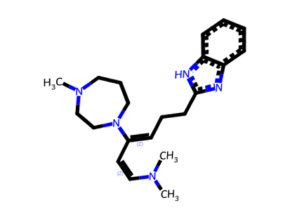 CN(C)/C=C\C(=C\CCc1nc2ccccc2[nH]1)N1CCCN(C)CC1